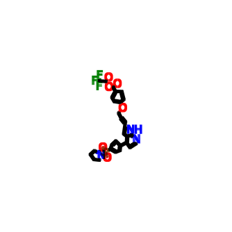 O=C(OC(=O)C(F)(F)F)c1ccc(OCC#Cc2cc3c(-c4ccc(S(=O)(=O)N5CCCC5)cc4)ccnc3[nH]2)cc1